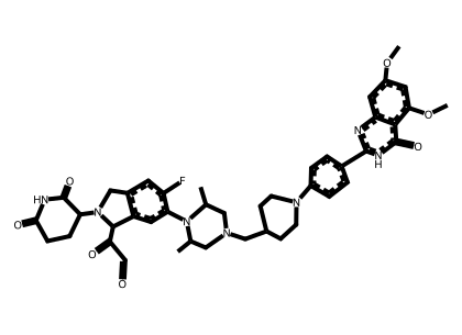 COc1cc(OC)c2c(=O)[nH]c(-c3ccc(N4CCC(CN5CC(C)N(c6cc7c(cc6F)CN(C6CCC(=O)NC6=O)C7C(=O)C=O)C(C)C5)CC4)cc3)nc2c1